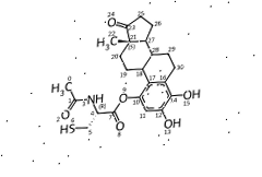 CC(=O)N[C@@H](CS)C(=O)Oc1cc(O)c(O)c2c1C1CC[C@]3(C)C(=O)CCC3C1CC2